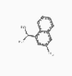 OB(O)c1cc(C(F)(F)F)cc2ccccc12